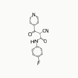 N#CC(C(=O)Nc1ccc(F)cc1)C(=O)c1ccncc1